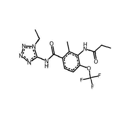 CCC(=O)Nc1c(OC(F)(F)F)ccc(C(=O)Nc2nnnn2CC)c1C